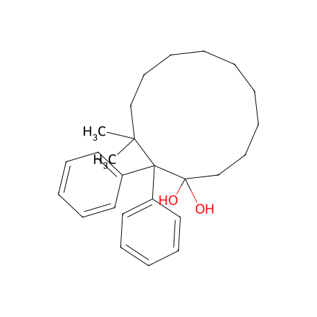 CC1(C)CCCCCCCCCC(O)(O)C1(c1ccccc1)c1ccccc1